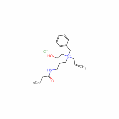 C=CC[N+](CCO)(CCCNC(=O)CCCCCCCCCCC)Cc1ccccc1.[Cl-]